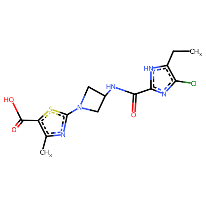 CCc1[nH]c(C(=O)NC2CN(c3nc(C)c(C(=O)O)s3)C2)nc1Cl